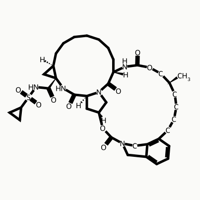 C[C@H]1CCCCc2cccc3c2CN(C3)C(=O)O[C@@H]2C[C@H]3C(=O)N[C@]4(C(=O)NS(=O)(=O)C5CC5)C[C@H]4CCCCCCC[C@H](NC(=O)OC1)C(=O)N3C2